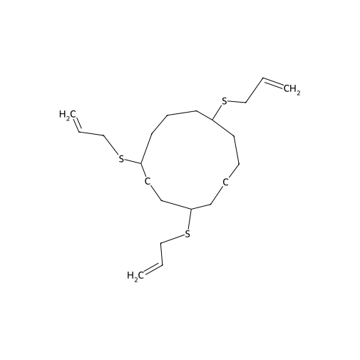 C=CCSC1CCCCC(SCC=C)CCC(SCC=C)CCC1